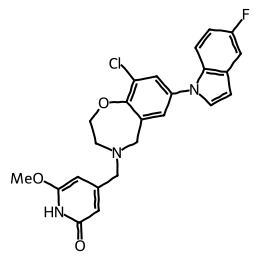 COc1cc(CN2CCOc3c(Cl)cc(-n4ccc5cc(F)ccc54)cc3C2)cc(=O)[nH]1